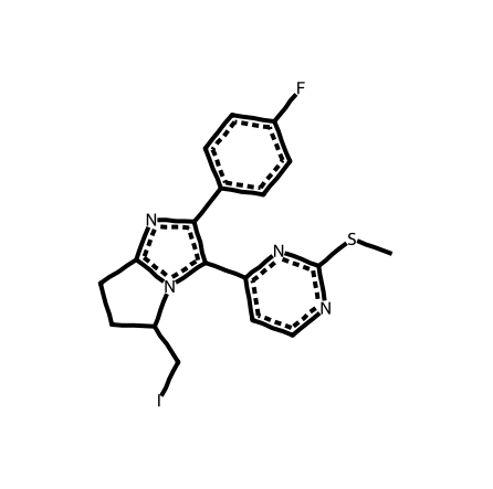 CSc1nccc(-c2c(-c3ccc(F)cc3)nc3n2C(CI)CC3)n1